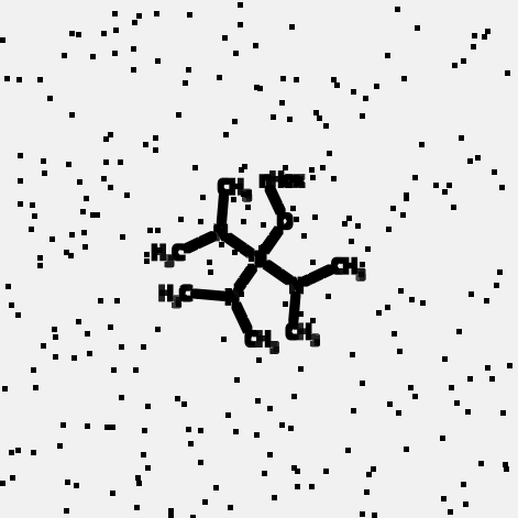 CCCCCC[O][Ti]([N](C)C)([N](C)C)[N](C)C